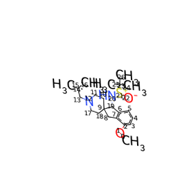 COc1cccc2c1CC1(CCN(C[C](C)C)CC1)[C@@H]2N[S@+]([O-])C(C)(C)C